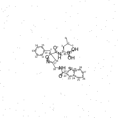 CC(C)C[C@H](NC(=O)C1(Cc2ccccc2)CC(CNC(=O)c2cc3ccccc3s2)=NO1)B(O)O